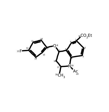 CCOC(=O)c1ccc2c(c1)C(Oc1ccc(F)cc1)CC(C)N2C(C)=O